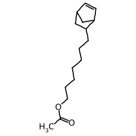 CC(=O)OCCCCCCCC1CC2C=CC1C2